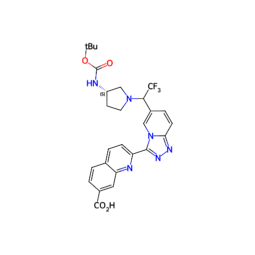 CC(C)(C)OC(=O)N[C@H]1CCN(C(c2ccc3nnc(-c4ccc5ccc(C(=O)O)cc5n4)n3c2)C(F)(F)F)C1